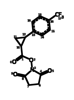 O=C(ON1C(=O)CCC1=O)C1CC1c1ccc(C(F)(F)F)cc1